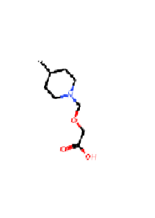 [CH2]C1CCN(COCC(=O)O)CC1